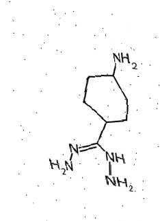 N/N=C(\NN)C1CCC(N)CC1